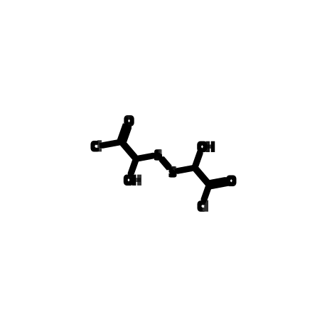 O=C(Cl)C(O)SSC(O)C(=O)Cl